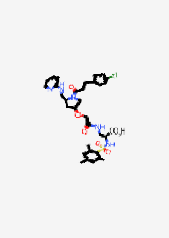 Cc1cc(C)c(S(=O)(=O)NC(CNC(=O)COC2CC(CNc3ccccn3)N(C(=O)CCc3ccc(Cl)cc3)C2)C(=O)O)c(C)c1